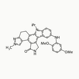 COc1ccc(OC)c(Nc2ccc3c(c2)c2c4c(c5c(c2n3C(C)C)CCc2nn(C)cc2-5)C(=O)NC4)c1